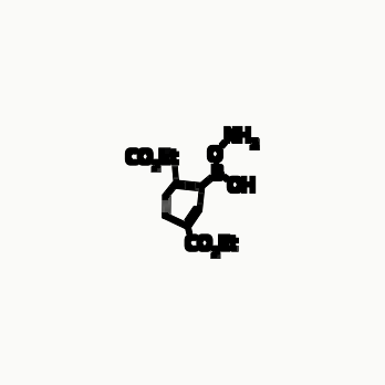 CCOC(=O)c1ccc(C(=O)OCC)c(B(O)ON)c1